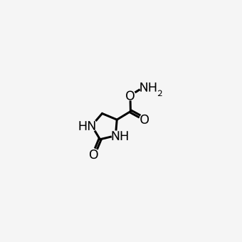 NOC(=O)C1CNC(=O)N1